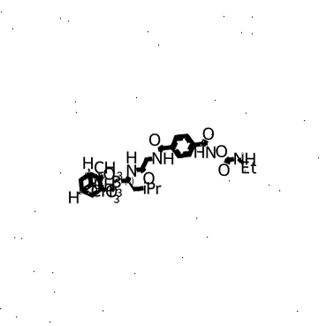 CCNC(=O)ONC(=O)c1ccc(C(=O)NCC(=O)N[C@@H](CC(C)C)B2OC3C[C@H]4C[C@H](C4(C)C)[C@@]3(C)O2)cc1